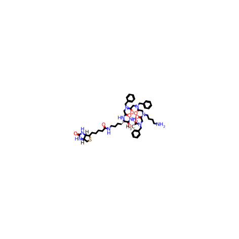 CC(=O)N(CC(=O)N(CCCCN)CC(=O)N(CC(=O)N(CC(=O)N[C@@H](CCCCNC(=O)CCCCC1SC[C@@H]2NC(=O)N[C@H]12)C(N)=O)Cc1ccccc1)Cc1ccccc1)Cc1ccccc1